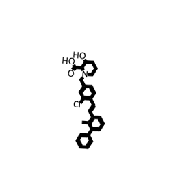 Cc1c(C=Cc2ccc(CN3CCCC(O)C3C(=O)O)cc2Cl)cccc1-c1ccccc1